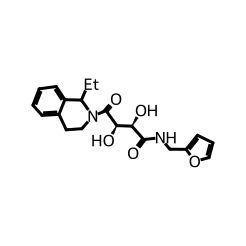 CCC1c2ccccc2CCN1C(=O)[C@H](O)[C@@H](O)C(=O)NCc1ccco1